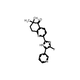 CC1(C)CCc2nc(-c3nc(F)c(-c4cccnc4)[nH]3)ccc2C1=O